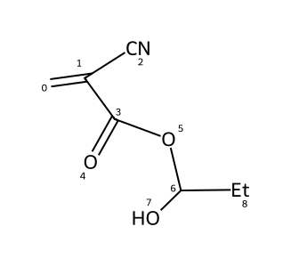 C=C(C#N)C(=O)OC(O)CC